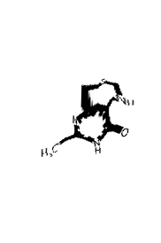 Cc1nc2c(c(=O)[nH]1)NCSC2